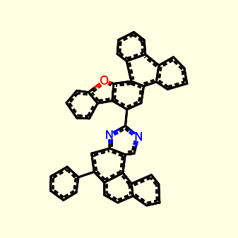 c1ccc(-c2cc3nc(-c4cc5c6ccccc6c6ccccc6c5c5oc6ccccc6c45)ncc3c3c2ccc2ccccc23)cc1